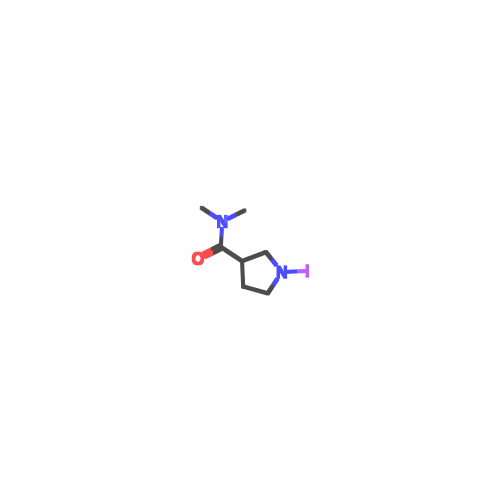 CN(C)C(=O)C1CCN(I)C1